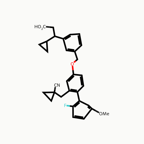 COc1ccc(F)c(-c2ccc(OCc3cccc(C(CC(=O)O)C4CC4)c3)cc2CC2(C#N)CC2)c1